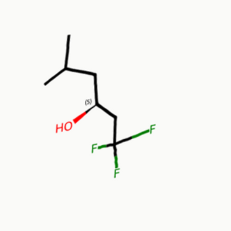 CC(C)C[C@H](O)CC(F)(F)F